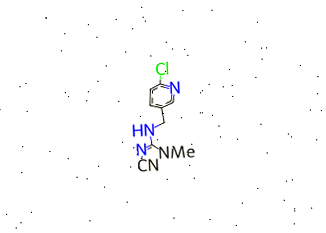 CN/C(=N\C#N)NCc1ccc(Cl)nc1